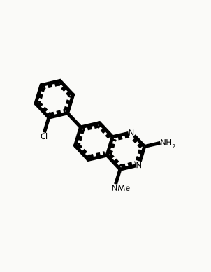 CNc1nc(N)nc2cc(-c3ccccc3Cl)ccc12